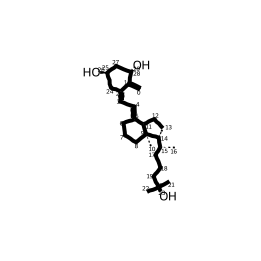 C=C1/C(=C\C=C2CCC[C@@]3(C)C2CC[C@@H]3[C@H](C)CCCC(C)(C)O)C[C@@H](O)C[C@H]1O